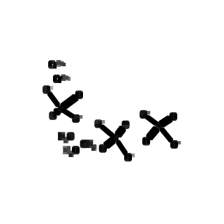 O.O.O.O=S(=O)([O-])[O-].O=S(=O)([O-])[O-].O=S(=O)([O-])[O-].[Cr+3].[Cr+3]